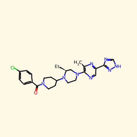 CC[C@H]1CN(c2ncc(-c3nc[nH]n3)nc2C)CCN1C1CCN(C(=O)c2ccc(Cl)cc2)CC1